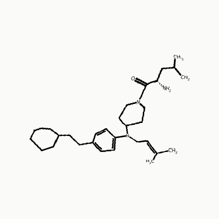 CC(C)=CCN(c1ccc(CCC2CCCCC2)cc1)C1CCN(C(=O)[C@@H](N)CC(C)C)CC1